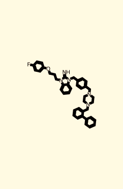 N=c1n(CCCOc2ccc(F)cc2)c2ccccc2n1Cc1ccc(CN2CCN(Cc3ccccc3-c3ccccc3)CC2)cc1